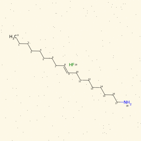 CCCCCCCC/C=C/CCCCCCCCN.F